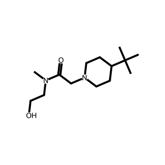 CN(CCO)C(=O)CN1CCC(C(C)(C)C)CC1